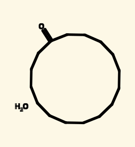 O.O=C1CCCCCCCCCCCCCCC1